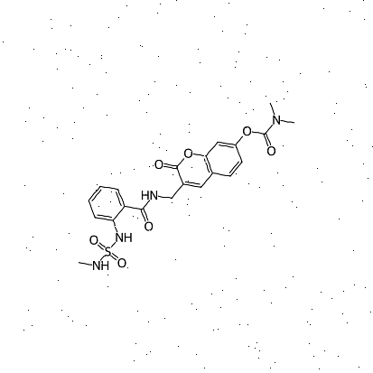 CNS(=O)(=O)Nc1ccccc1C(=O)NCc1cc2ccc(OC(=O)N(C)C)cc2oc1=O